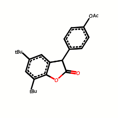 CC(=O)Oc1ccc(C2C(=O)Oc3c2cc(C(C)(C)C)cc3C(C)(C)C)cc1